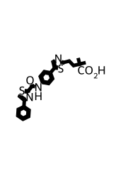 CC(C)(CCc1ncc(-c2ccc(NC(=O)c3nc(-c4ccccc4)cs3)cc2)s1)C(=O)O